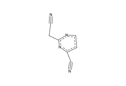 N#CCc1nccc(C#N)n1